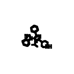 CC(C)n1c(C2CCNCC2)nc(-c2ccccc2)c1-n1cnc2ccccc21